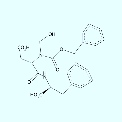 O=C(O)C[C@@H](C(=O)N[C@@H](Cc1ccccc1)C(=O)O)N(CO)C(=O)OCc1ccccc1